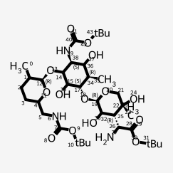 CC1CCC(CNC(=O)OC(C)(C)C)O[C@@H]1OC1C(O)[C@@H](O[C@H]2OC[C@](C)(O)[C@H](C(N)C(=O)OC(C)(C)C)C2O)[C@H](C)C(O)[C@@H]1NC(=O)OC(C)(C)C